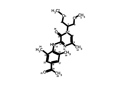 COCC(COC)n1cc(C)nc(Nc2c(C)cc(C(C)=O)cc2C)c1=O